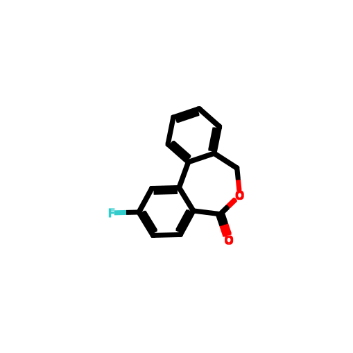 O=C1OCc2ccccc2-c2cc(F)ccc21